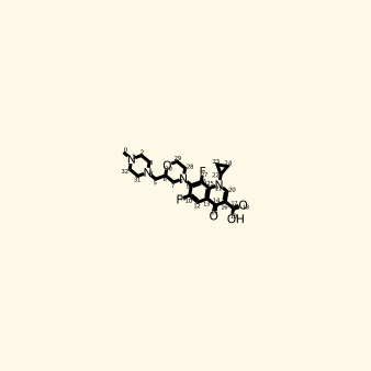 CN1CCN(CC2CN(c3c(F)cc4c(=O)c(C(=O)O)cn(C5CC5)c4c3F)CCO2)CC1